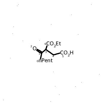 CCCCCC(=O)C(CC(=O)O)C(=O)OCC